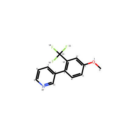 COc1ccc(-c2cccnc2)c(C(F)(F)F)c1